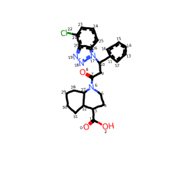 O=C(O)C1CCN(C(=O)CC(c2ccccc2)n2nnc3c(Cl)cccc32)C2CCCCC12